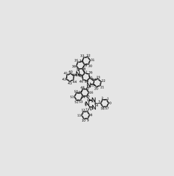 c1ccc(-c2nc(-c3ccccc3)nc(-c3cc(-n4c5ccccc5c5cc6c7c8ccccc8ccc7n(-c7ccccc7)c6cc54)cc4ccccc34)n2)cc1